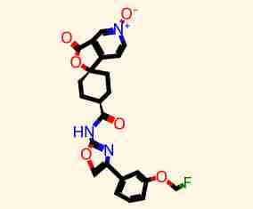 O=C1O[C@]2(CC[C@H](C(=O)Nc3nc(-c4cccc(OCF)c4)co3)CC2)c2cc[n+]([O-])cc21